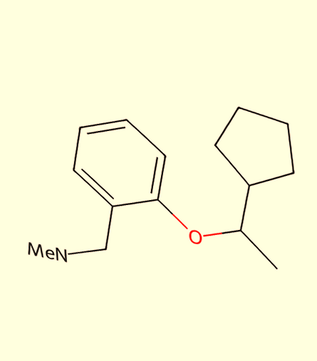 CNCc1ccccc1OC(C)C1CCCC1